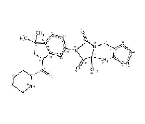 CC1(C)CN(C(=O)[C@H]2CCCCN2)c2cc(N3C(=O)N(Cc4ccncc4)C(C)(C)C3=O)ccc21